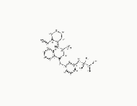 O=C(c1cccc(N(Cc2cccc(OC(F)(F)C(F)F)c2)CC(O)C(F)(F)F)c1)N1CCCCC1